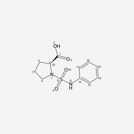 O=C(O)[C@@H]1CCCN1S(=O)(=O)Nc1ccccc1